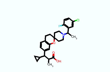 CC(C(=O)O)C(c1ccc2c(c1)OC1(CC2)CCN(C(C)c2cc(Cl)ccc2F)CC1)C1CC1